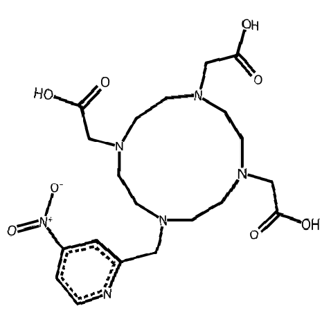 O=C(O)CN1CCN(CC(=O)O)CCN(Cc2cc([N+](=O)[O-])ccn2)CCN(CC(=O)O)CC1